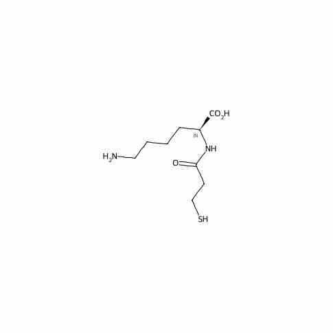 NCCCC[C@H](NC(=O)CCS)C(=O)O